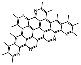 Cc1nc2c(c(C)c1C)c(C)c1c3c(C)c(C)nc4c5nc(C)c(C)c6c7c(C)c8c(C)c(C)c(C)nc8c8ncc9c%10cnc2c1c%10c(c43)c(c56)c9c87